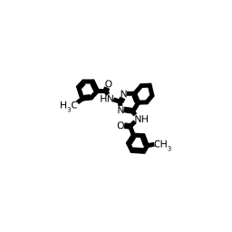 Cc1cccc(C(=O)Nc2nc3c(c(NC(=O)c4cccc(C)c4)n2)CCCC3)c1